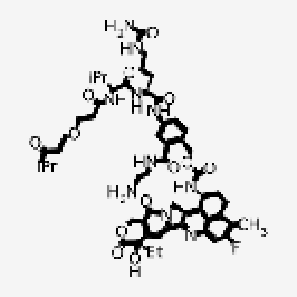 CC[C@@]1(O)C(=O)OCc2c1cc1n(c2=O)Cc2c-1nc1cc(F)c(C)c3c1c2[C@@H](NC(=O)OCc1ccc(NC(=O)[C@H](CCCNC(N)=O)NC(=O)[C@@H](NC(=O)CCOCCC(=O)C(C)C)C(C)C)cc1C(=O)NCCN)CC3